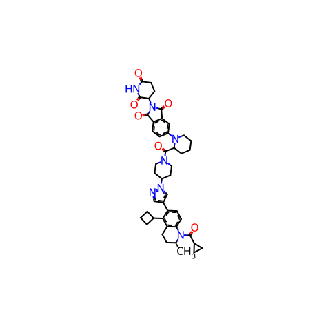 C[C@H]1CCc2c(ccc(-c3cnn(C4CCN(C(=O)C5CCCCN5c5ccc6c(c5)C(=O)N(C5CCC(=O)NC5=O)C6=O)CC4)c3)c2C2CCC2)N1C(=O)C1CC1